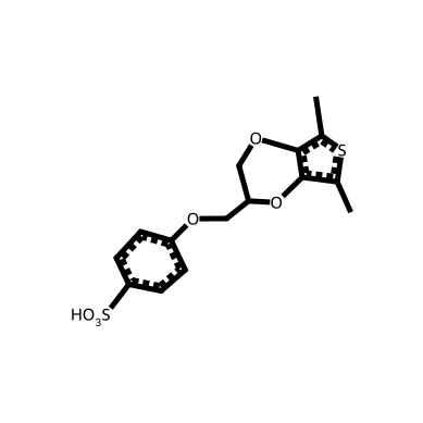 Cc1sc(C)c2c1OCC(COc1ccc(S(=O)(=O)O)cc1)O2